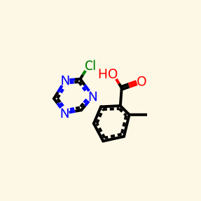 Cc1ccccc1C(=O)O.Clc1ncncn1